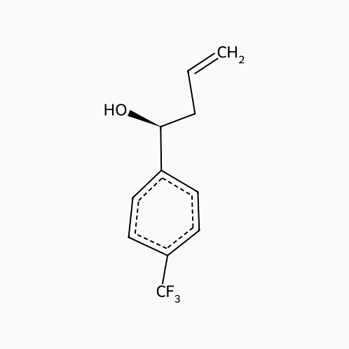 C=CC[C@H](O)c1ccc(C(F)(F)F)cc1